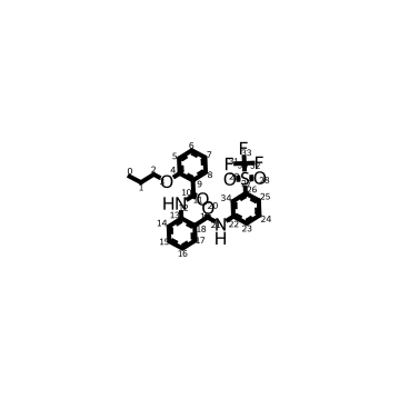 CCCOc1ccccc1C(=O)Nc1ccccc1C(=O)Nc1cccc(S(=O)(=O)C(F)(F)F)c1